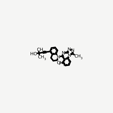 Cc1nnc2nc(N3c4cccc(C#CC(C)(C)O)c4CCC3C)c3c(F)cccc3n12